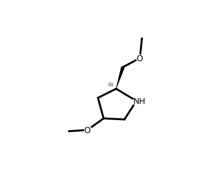 COC[C@@H]1CC(OC)CN1